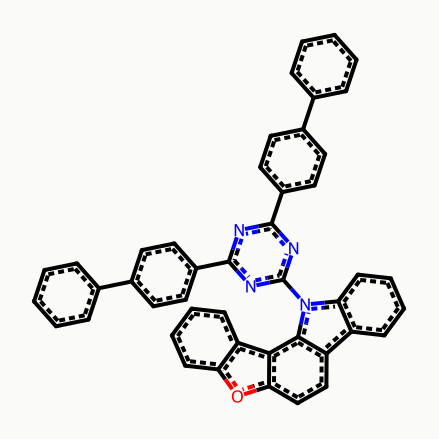 c1ccc(-c2ccc(-c3nc(-c4ccc(-c5ccccc5)cc4)nc(-n4c5ccccc5c5ccc6oc7ccccc7c6c54)n3)cc2)cc1